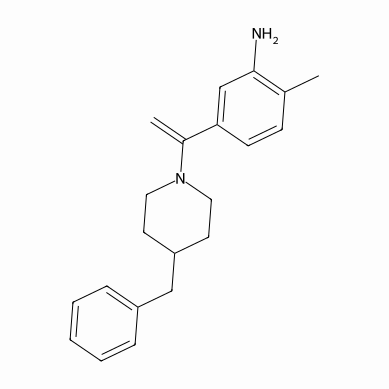 C=C(c1ccc(C)c(N)c1)N1CCC(Cc2ccccc2)CC1